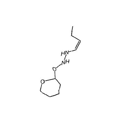 CC/C=C\NNOC1CCCCO1